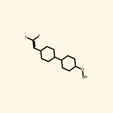 CCCOC1CCC(C2CCC(C=C(F)F)CC2)CC1